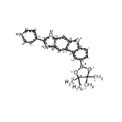 CC1(C)OB(c2ccc3oc4cc5oc(-c6ccncc6)nc5cc4c3c2)OC1(C)C